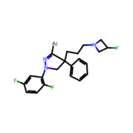 CC(=O)C1=NN(c2cc(F)ccc2F)CC1(CCCN1CC(F)C1)c1ccccc1